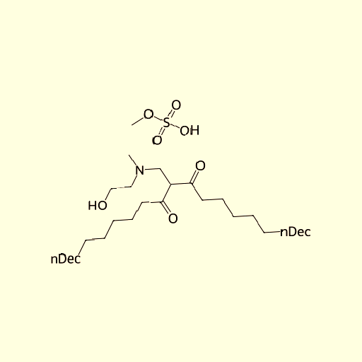 CCCCCCCCCCCCCCCC(=O)C(CN(C)CCO)C(=O)CCCCCCCCCCCCCCC.COS(=O)(=O)O